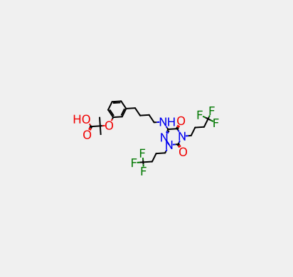 CC(C)(Oc1cccc(CCCCNc2nn(CCCC(F)(F)F)c(=O)n(CCCC(F)(F)F)c2=O)c1)C(=O)O